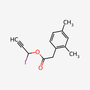 C#CC(I)OC(=O)Cc1ccc(C)cc1C